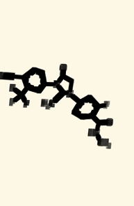 C=C1N(c2ccc(C(=O)NC)c(F)c2)CC(=O)N1c1ccc(C#N)c(C(F)(F)F)c1